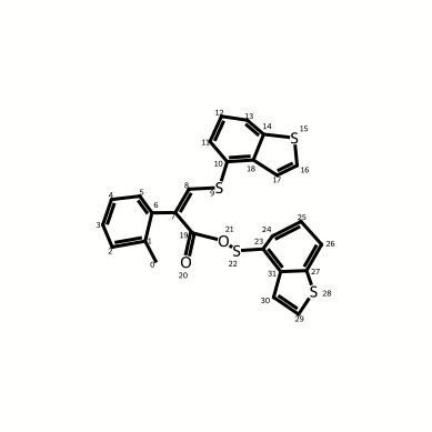 Cc1ccccc1C(=CSc1cccc2sccc12)C(=O)OSc1cccc2sccc12